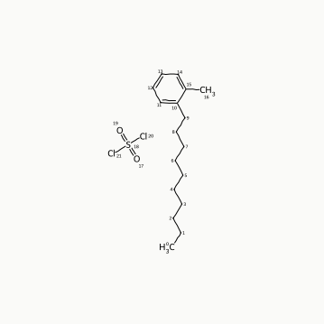 CCCCCCCCCCc1ccccc1C.O=S(=O)(Cl)Cl